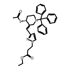 CCOC(=O)CCn1ccc(/C=C2\CN(C(c3ccccc3)(c3ccccc3)c3ccccc3)CC[C@@H]2SC(C)=O)n1